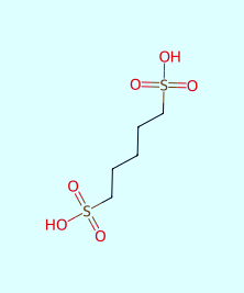 O=S(=O)(O)CCCCCS(=O)(=O)O